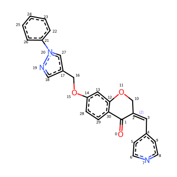 O=C1/C(=C\c2ccncc2)COc2cc(OCc3cnn(-c4ccccc4)c3)ccc21